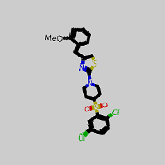 COc1ccccc1Cc1csc(N2CCC(S(=O)(=O)c3cc(Cl)ccc3Cl)CC2)n1